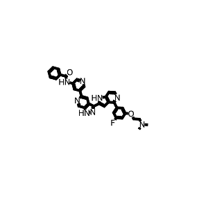 CN(C)CCOc1cc(F)cc(-c2nccc3[nH]c(-c4n[nH]c5cnc(-c6cncc(NC(=O)c7ccccc7)c6)cc45)cc23)c1